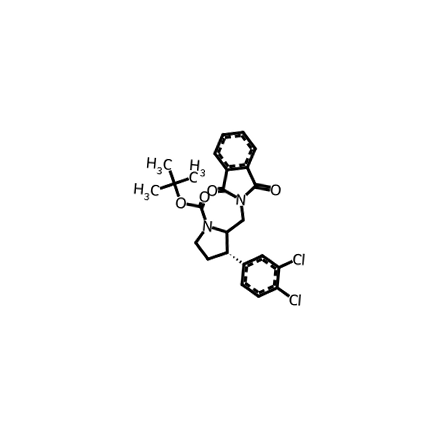 CC(C)(C)OC(=O)N1CC[C@@H](c2ccc(Cl)c(Cl)c2)C1CN1C(=O)c2ccccc2C1=O